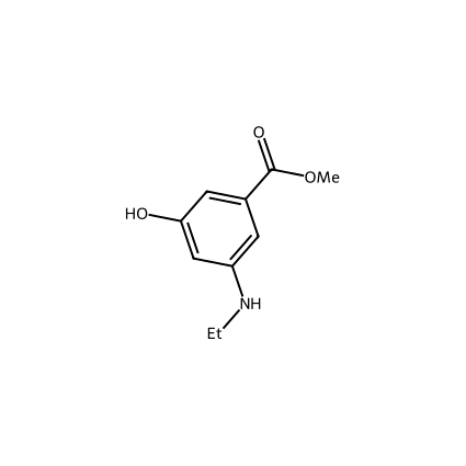 CCNc1cc(O)cc(C(=O)OC)c1